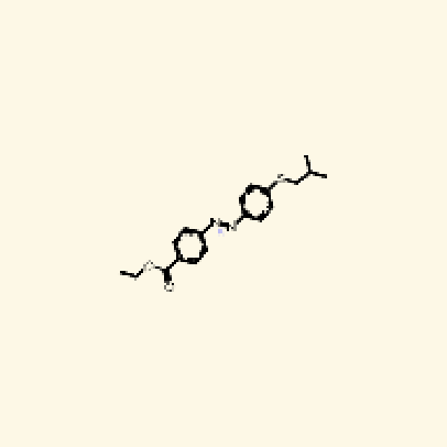 CCOC(=O)c1ccc(/N=N/c2ccc(SCC(C)C)cc2)cc1